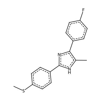 CSc1ccc(-c2nc(-c3ccc(F)cc3)c(C)[nH]2)cc1